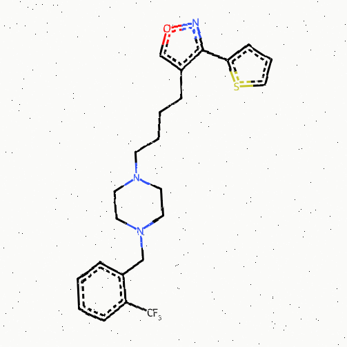 FC(F)(F)c1ccccc1CN1CCN(CCCCc2conc2-c2cccs2)CC1